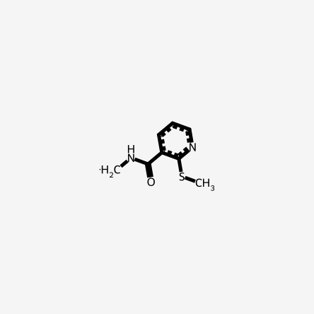 [CH2]NC(=O)c1cccnc1SC